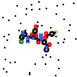 COc1ccc(S(=O)(=O)N(CCNc2cc(C)nc3ccc(Cl)cc23)CCC(=O)Nc2ccc(C(=O)N3CCCCC3)cc2OCC(=O)c2ccc(F)cc2)cc1